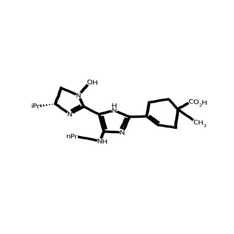 CCCNc1nc(C2=CCC(C)(C(=O)O)CC2)[nH]c1C1=N[C@H](C(C)C)CN1O